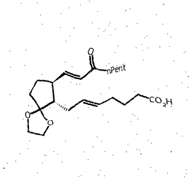 CCCCCC(=O)C=C[C@@H]1CCC2(OCCO2)[C@H]1CC=CCCCC(=O)O